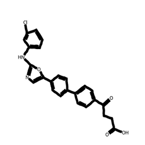 O=C(O)CCC(=O)c1ccc(-c2ccc(-c3cnc(Nc4cccc(Cl)c4)o3)cc2)cc1